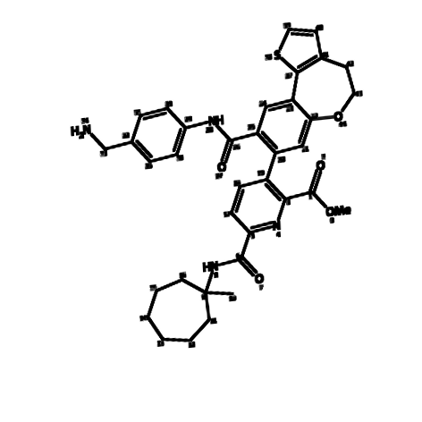 COC(=O)c1nc(C(=O)NC2(C)CCCCCC2)ccc1-c1cc2c(cc1C(=O)Nc1ccc(CN)cc1)-c1sccc1CCO2